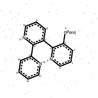 CCCCCc1cccnc1-c1cccnc1-c1ccccn1